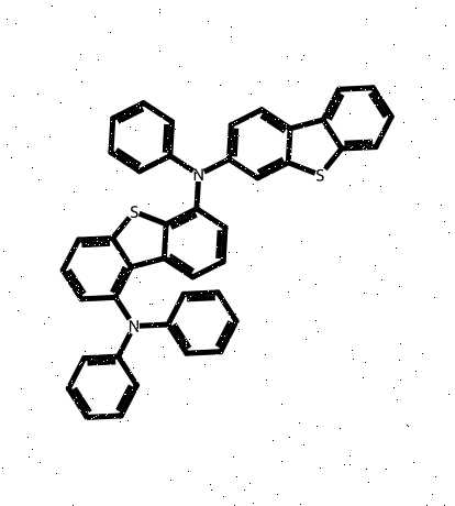 c1ccc(N(c2ccc3c(c2)sc2ccccc23)c2cccc3c2sc2cccc(N(c4ccccc4)c4ccccc4)c23)cc1